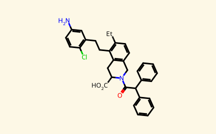 CCc1ccc2c(c1CCc1cc(N)ccc1Cl)CC(C(=O)O)N(C(=O)C(c1ccccc1)c1ccccc1)C2